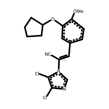 COc1ccc(/C=C(\C#N)n2cnc(Cl)c2Cl)cc1OC1CCCC1